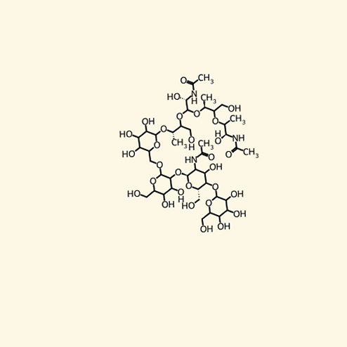 CC(=O)NC1C(O)C(OC2OC(CO)C(O)C(O)C2O)[C@H](CO)O[C@H]1OC1C(OCC2OC(O[C@@H](C)C(CO)OC(O[C@@H](C)C(CO)OC(C)[C@H](O)NC(C)=O)[C@H](O)NC(C)=O)C(O)C(O)C2O)OC(CO)C(O)C1O